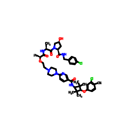 CC(C)[C@H](OCCN1CCN(c2ccc(C(=O)NC3C(C)(C)C(Oc4ccc(C#N)c(Cl)c4)C3(C)C)cn2)CC1)C(=O)N[C@@H](C)C(=O)N1C[C@H](O)C[C@H]1C(=O)NCc1ccc(Cl)cc1